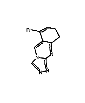 CC(C)C1=CCCc2nc3nncn3cc21